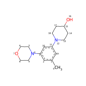 Cc1cc(N2CCOCC2)cc(N2CCC(O)CC2)c1